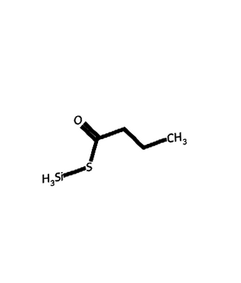 CCCC(=O)S[SiH3]